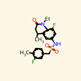 CCN1C(=O)CC(C)c2cc(NS(=O)(=O)Cc3ccc(C)c(F)c3)cc(F)c21